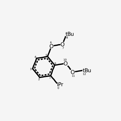 CC(C)c1cccc(OOC(C)(C)C)c1OOC(C)(C)C